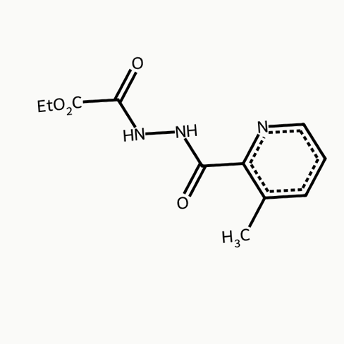 CCOC(=O)C(=O)NNC(=O)c1ncccc1C